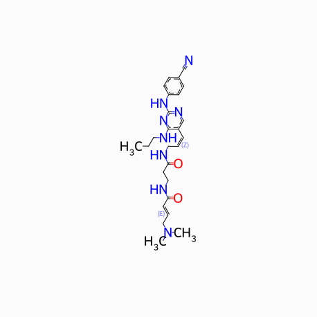 CCCNc1nc(Nc2ccc(C#N)cc2)ncc1/C=C\CNC(=O)CCNC(=O)/C=C/CN(C)C